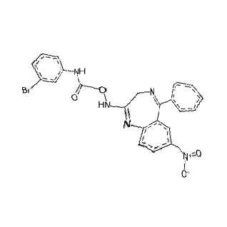 O=C(Nc1cccc(Br)c1)ONC1=Nc2ccc([N+](=O)[O-])cc2C(c2ccccc2)=NC1